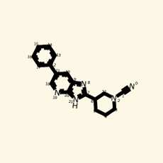 N#CN1CCCC(c2nc3cc(-c4ccccc4)cnc3[nH]2)C1